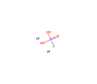 I.I.O=P(O)(O)F